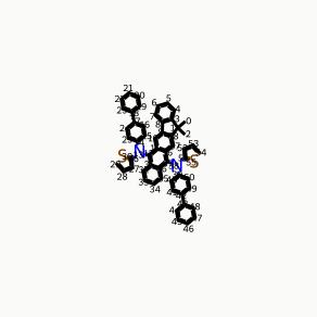 CC1(C)c2ccccc2-c2cc3c(N(c4ccc(-c5ccccc5)cc4)c4cccs4)c4ccccc4c(N(c4ccc(-c5ccccc5)cc4)c4cccs4)c3cc21